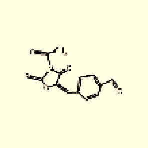 CC(=O)N1C(=O)/C(=C\c2ccc(C=O)cc2)OC1=S